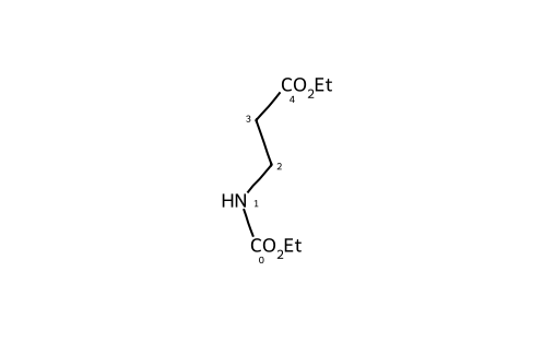 [CH2]COC(=O)NCCC(=O)OCC